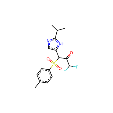 Cc1ccc(S(=O)(=O)C(C(=O)C(F)F)c2cnc(C(C)C)[nH]2)cc1